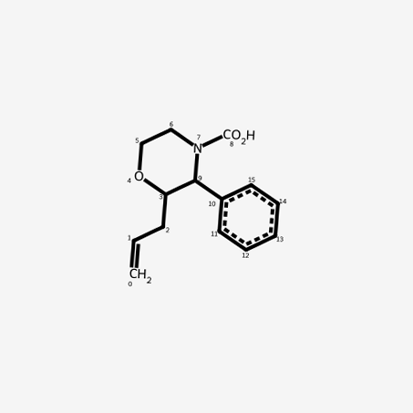 C=CCC1OCCN(C(=O)O)C1c1ccccc1